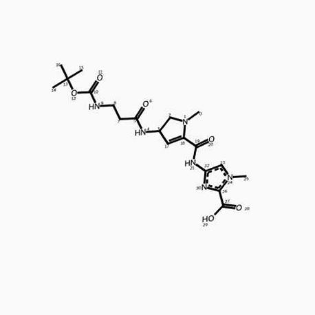 CN1CC(NC(=O)CCNC(=O)OC(C)(C)C)C=C1C(=O)Nc1cn(C)c(C(=O)O)n1